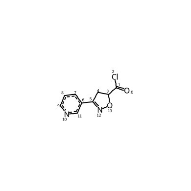 O=C(Cl)C1CC(c2cccnc2)=NO1